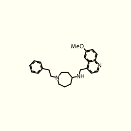 COc1ccc2nccc(CNC3CCCN(CCc4ccccc4)CC3)c2c1